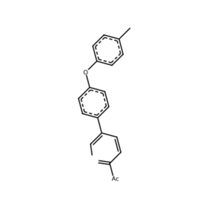 C=C(/C=C\C(=C/C)c1ccc(Oc2ccc(C)cc2)cc1)C(C)=O